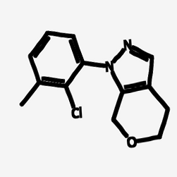 Cc1cccc(-n2ncc3c2COCC3)c1Cl